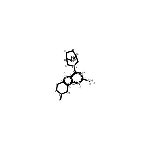 CC1CCc2oc3c(N4CC5CCC(C4)N5)nc(N)nc3c2C1